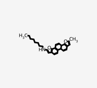 CCCCCCCCNc1cc2ccc3c(c2o1)C=CC1c2oc(C)cc2C=CC31